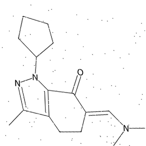 Cc1nn(C2CCCC2)c2c1CC/C(=C\N(C)C)C2=O